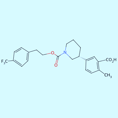 Cc1ccc([C@H]2CCCN(C(=O)OCCc3ccc(C(F)(F)F)cc3)C2)cc1C(=O)O